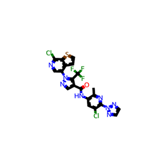 Cc1nc(-n2nccn2)c(Cl)cc1NC(=O)c1cnn(-c2cnc(Cl)c3sccc23)c1C(F)(F)F